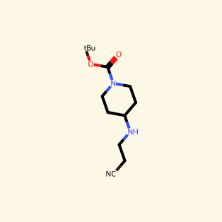 CC(C)(C)OC(=O)N1CCC(NCCC#N)CC1